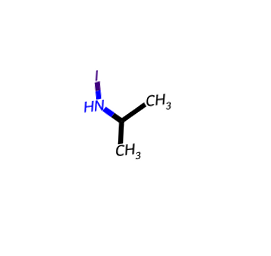 CC(C)NI